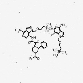 CC(C)C(=O)N1CCN(C(=O)C(=O)Nc2cnc(N)c3cnn(COCC[Si](C)(C)C)c23)C(c2ccccc2)C1.C[Si](C)(C)CCOCn1ncc2c(N)ncc(Br)c21